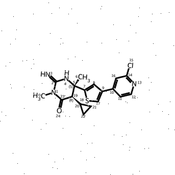 CN1C(=N)N[C@](C)(c2cc(-c3ccnc(Cl)c3)cs2)[C@@H](C2CC2)C1=O